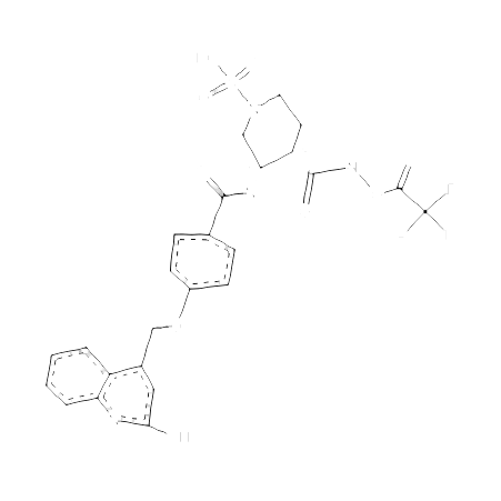 Cc1cc(COc2ccc(C(=O)N[C@@H]3CN(S(C)(=O)=O)CC[C@@H]3C(=O)NOC(=O)C(F)(F)F)cc2)c2ccccc2n1